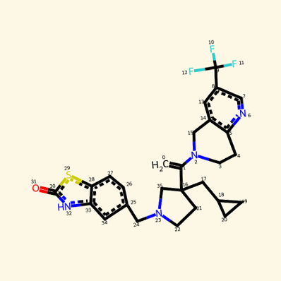 C=C(N1CCc2ncc(C(F)(F)F)cc2C1)C1(CC2CC2)CCN(Cc2ccc3sc(=O)[nH]c3c2)C1